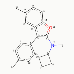 Cc1ccc(-c2c(N(C)C3CCC3)oc3ccc(C)cc23)cc1